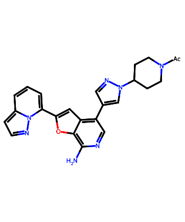 CC(=O)N1CCC(n2cc(-c3cnc(N)c4oc(-c5cccc6ccnn56)cc34)cn2)CC1